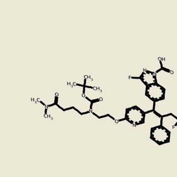 CN(C)C(=O)CCCN(CCOc1ccc(/C(=C(/CC(F)(F)F)c2ccccc2)c2ccc3c(c2)c(F)nn3C(=O)O)cn1)C(=O)OC(C)(C)C